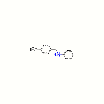 CC(C)c1ccc(CNc2ccccc2)cc1